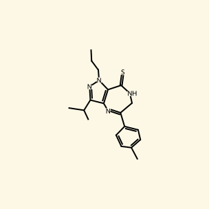 CCCn1nc(C(C)C)c2c1C(=S)NCC(c1ccc(C)cc1)=N2